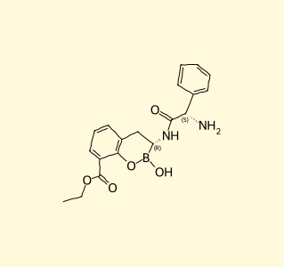 CCOC(=O)c1cccc2c1OB(O)[C@@H](NC(=O)[C@@H](N)c1ccccc1)C2